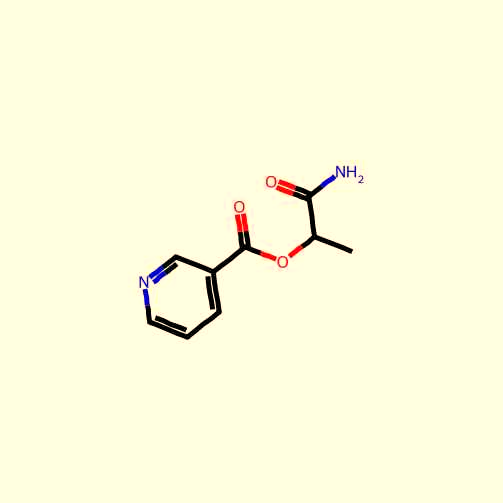 CC(OC(=O)c1cccnc1)C(N)=O